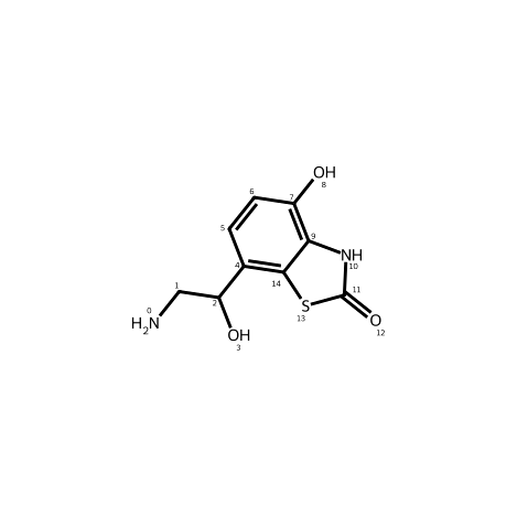 NCC(O)c1ccc(O)c2[nH]c(=O)sc12